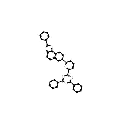 c1ccc(-c2nc(-c3ccccc3)nc(-c3cccc(-c4ccc5c(ccc6sc(-c7ccccc7)nc65)c4)n3)n2)cc1